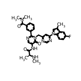 CN[C@@H](C)C(=O)Nc1cnc(-c2cccc(C(=O)N(C)C)c2)n(Cc2cc(-n3cc(C)c4cc(F)ccc43)ncn2)c1=O